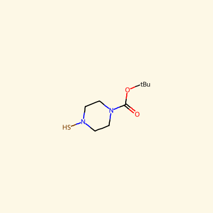 CC(C)(C)OC(=O)N1CCN(S)CC1